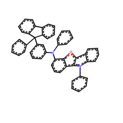 c1ccc(N(c2cccc(C3(c4ccccc4)c4ccccc4-c4ccccc43)c2)c2cccc3c2oc2c4ccccc4n(-c4ccccc4)c32)cc1